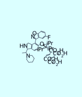 CC(C1NCc2c1ccc(O[Si](C(C)C)(C(C)C)C(C)C)c2-c1noc2ccc(F)cc12)N1CCCCC1.O=C(O)C=CC(=O)O.O=C(O)C=CC(=O)O